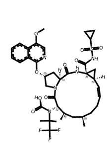 COc1cnc(O[C@@H]2C[C@H]3C(=O)N[C@]4(C(=O)NS(=O)(=O)C5CC5)C[C@H]4C=CCC[C@@H](C)C[C@@H](C)[C@H](N(C(=O)O)C(C)(C)C(F)(F)F)C(=O)N3C2)c2ccccc12